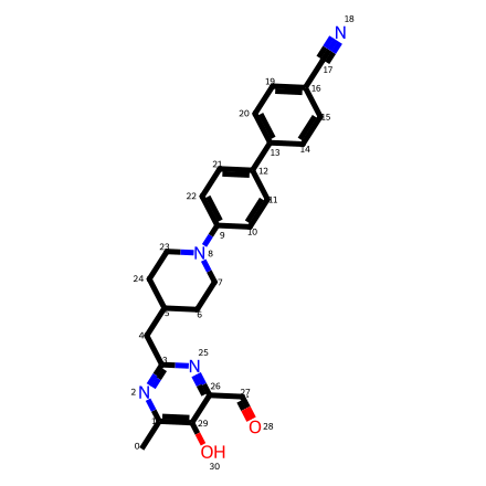 Cc1nc(CC2CCN(c3ccc(-c4ccc(C#N)cc4)cc3)CC2)nc([C]=O)c1O